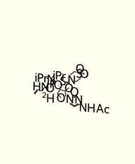 [2H]C[C@H]1O[C@@H](n2ccc(NC(C)=O)nc2=O)C(OC(=S)N2CCS(=O)(=O)CC2)[C@H]1OP(ONCC=C)N(C(C)C)C(C)C